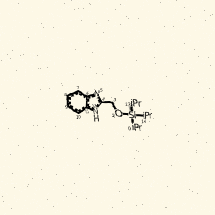 CC(C)[Si](OCc1nc2ccccc2[nH]1)(C(C)C)C(C)C